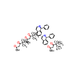 CC(C)(C)C(=O)CC(=O)C(C)(C)C(=O)[O-].CC(C)(C)C(=O)CC(=O)C(C)(C)C(=O)[O-].CC(C)(C)C(=O)CC(=O)C(C)(C)C(=O)[O-].[Ir+3].c1ccc(-c2nccc3ccccc23)cc1.c1ccc(-c2nccc3ccccc23)cc1